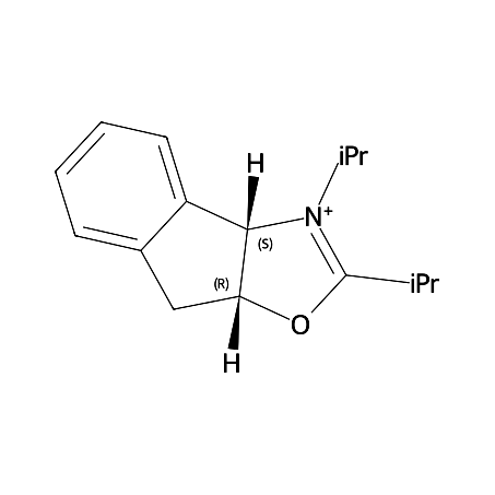 CC(C)C1=[N+](C(C)C)[C@H]2c3ccccc3C[C@H]2O1